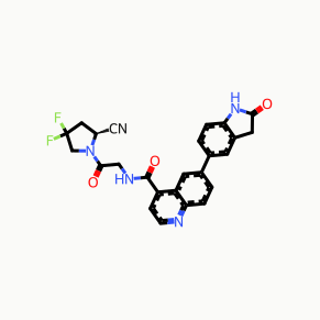 N#C[C@@H]1CC(F)(F)CN1C(=O)CNC(=O)c1ccnc2ccc(-c3ccc4c(c3)CC(=O)N4)cc12